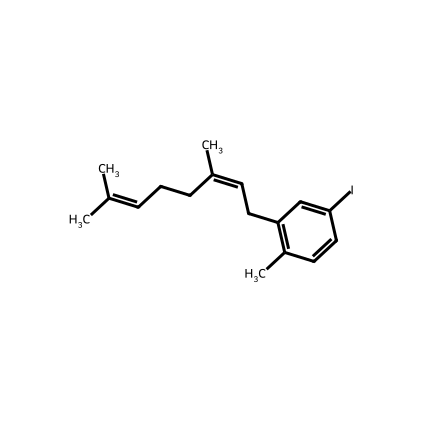 CC(C)=CCCC(C)=CCc1cc(I)ccc1C